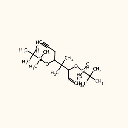 C#CCC(O[Si](C)(C)C(C)(C)C)C(C)(C)C(C=C)O[Si](C)(C)C(C)(C)C